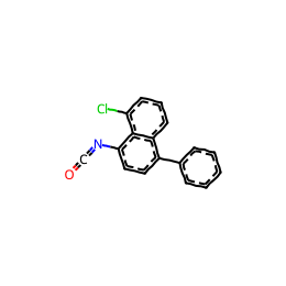 O=C=Nc1ccc(-c2ccccc2)c2cccc(Cl)c12